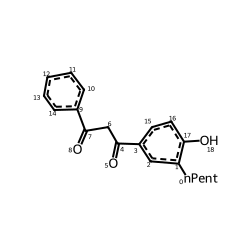 CCCCCc1cc(C(=O)CC(=O)c2ccccc2)ccc1O